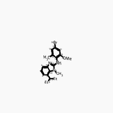 CCC(CC)c1cccc2nc(Nc3c(C)cc(Br)cc3OC)n(C)c12